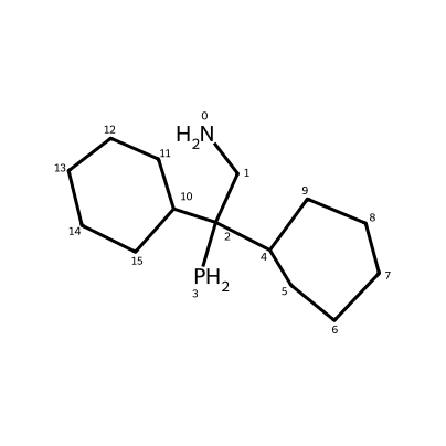 NCC(P)(C1CCCCC1)C1CCCCC1